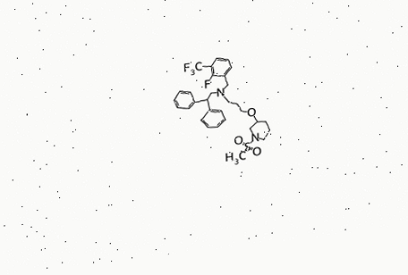 CS(=O)(=O)N1CCCC(OCCCN(Cc2cccc(C(F)(F)F)c2F)CC(c2ccccc2)c2ccccc2)C1